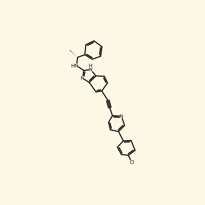 C[C@@H](Nc1nc2cc(C#Cc3ccc(-c4ccc(Cl)cc4)cn3)ccc2[nH]1)c1ccccc1